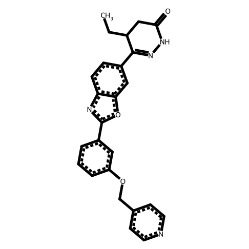 CCC1CC(=O)NN=C1c1ccc2nc(-c3cccc(OCc4ccncc4)c3)oc2c1